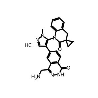 Cl.Cn1ncc(-c2ccc3c(=O)[nH]nc(CN)c3c2)c1N1C(=O)C2(CC2)Cc2ccccc21